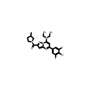 CC(C)CN(CC(C)C)c1cc(-c2cc(F)c(Cl)c(F)c2)nc2cc(C(=O)N3CCC(C)C3)nn12